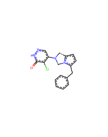 O=c1[nH]ncc(N2Cc3ccc(Cc4ccccc4)n3C2)c1Cl